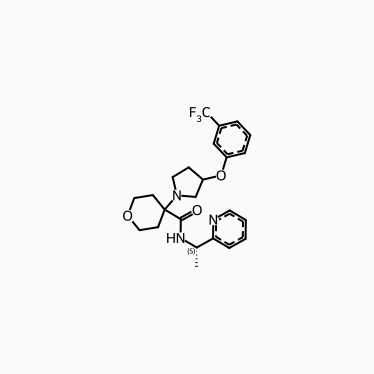 C[C@H](NC(=O)C1(N2CCC(Oc3cccc(C(F)(F)F)c3)C2)CCOCC1)c1ccccn1